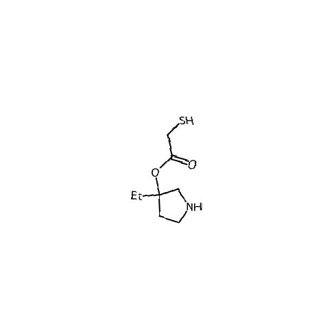 CCC1(OC(=O)CS)CCNC1